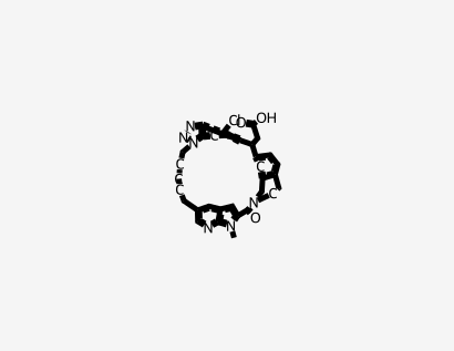 Cn1c2cc3cc(cnc31)CCCCCn1nnc3c(Cl)c(ccc31)C(CC(=O)O)c1ccc3c(c1)CN(CC3)C2=O